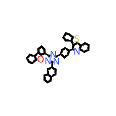 c1ccc2cc(-c3nc(-c4ccc(-c5nc6ccccc6c6sc7ccccc7c56)cc4)nc(-c4cccc5c4oc4ccccc45)n3)ccc2c1